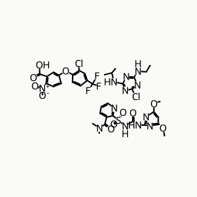 CCNc1nc(Cl)nc(NC(C)C)n1.COc1cc(OC)nc(NC(=O)NS(=O)(=O)c2ncccc2C(=O)N(C)C)n1.O=C(O)c1cc(Oc2ccc(C(F)(F)F)cc2Cl)ccc1[N+](=O)[O-]